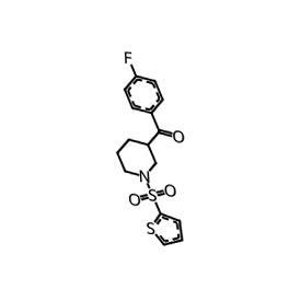 O=C(c1ccc(F)cc1)C1CCCN(S(=O)(=O)c2cccs2)C1